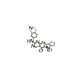 CCn1c2ccccc2c2nc3nc(Nc4ccc5c(c4)CN(C)CC5)ncc3c(=O)n21